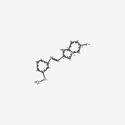 COc1cccc(N=Cc2cn3cc(F)ccc3n2)c1